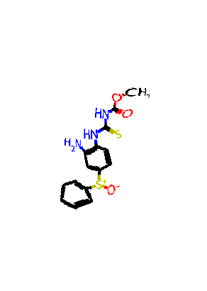 COC(=O)NC(=S)Nc1ccc([S+]([O-])c2ccccc2)cc1N